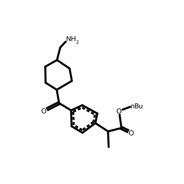 CCCCOC(=O)C(C)c1ccc(C(=O)C2CCC(CN)CC2)cc1